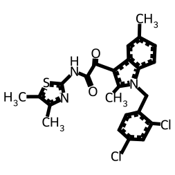 Cc1ccc2c(c1)c(C(=O)C(=O)Nc1nc(C)c(C)s1)c(C)n2Cc1ccc(Cl)cc1Cl